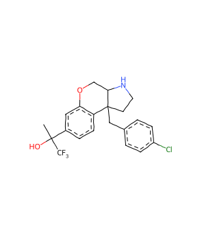 CC(O)(c1ccc2c(c1)OCC1NCCC21Cc1ccc(Cl)cc1)C(F)(F)F